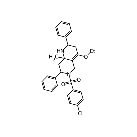 CCOC1=C2CN(S(=O)(=O)c3ccc(Cl)cc3)C(c3ccccc3)C[C@]2(C)NC(c2ccccc2)C1